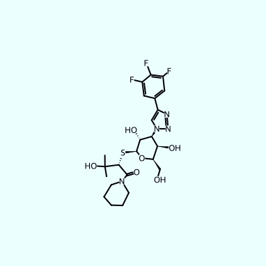 CC(C)(O)[C@H](S[C@@H]1O[C@H](CO)[C@H](O)[C@H](n2cc(-c3cc(F)c(F)c(F)c3)nn2)[C@H]1O)C(=O)N1CCCCC1